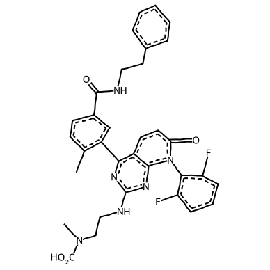 Cc1ccc(C(=O)NCCc2ccccc2)cc1-c1nc(NCCN(C)C(=O)O)nc2c1ccc(=O)n2-c1c(F)cccc1F